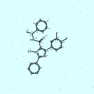 CCn1c(-c2ccccc2)nc(-c2ccc(C)c(C)c2)c1C(=O)N[C@@H](C)c1ccccc1